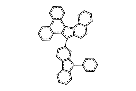 c1ccc(-n2c3ccccc3c3ccc(-n4c5ccc6ccccc6c5c5c6ccccc6c6ccccc6c54)cc32)cc1